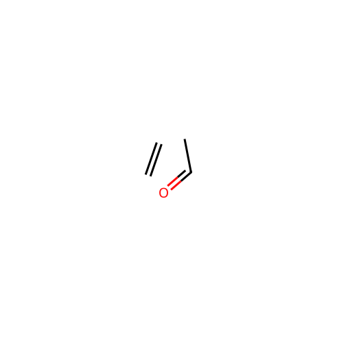 C=C.CC=O